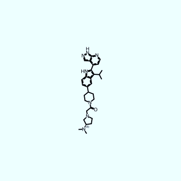 CC(C)c1c(-c2ccnc3[nH]ncc23)[nH]c2ccc(C3CCN(C(=O)CN4CC[C@@H](N(C)C)C4)CC3)cc12